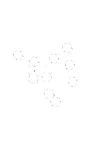 c1ccc(-c2ccc(-c3ccccc3-c3ccc(N(c4ccc(-c5ccc6ccccc6c5)cc4)c4ccc(-c5ccccc5)c5oc6ccccc6c45)cc3)cc2)cc1